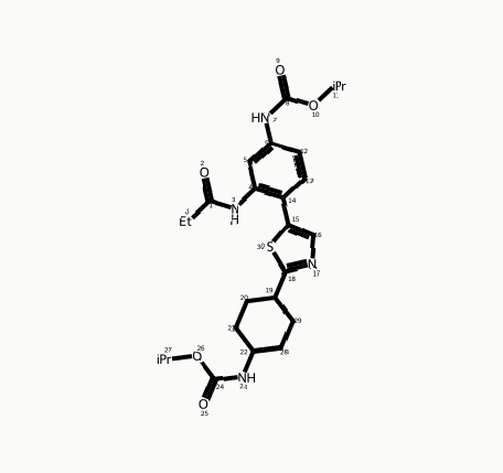 CCC(=O)Nc1cc(NC(=O)OC(C)C)ccc1-c1cnc(C2CCC(NC(=O)OC(C)C)CC2)s1